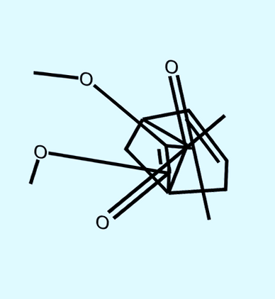 COC1=C(OC)C(=O)C23CC=CC(C2)C3C1=O